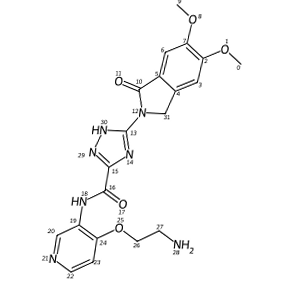 COc1cc2c(cc1OC)C(=O)N(c1nc(C(=O)Nc3cnccc3OCCN)n[nH]1)C2